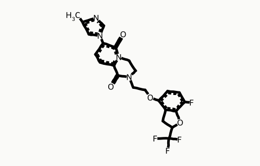 Cc1cn(-c2ccc3n(c2=O)CCN(CCOc2ccc(F)c4c2CC(C(F)(F)F)O4)C3=O)cn1